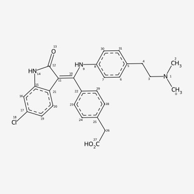 CN(C)CCc1ccc(N/C(=C2\C(=O)Nc3cc(Cl)ccc32)c2ccc(CC(=O)O)cc2)cc1